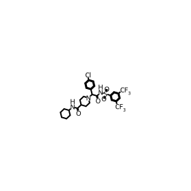 O=C(NC1CCCCC1)C1CCN(C(C(=O)NS(=O)(=O)c2cc(C(F)(F)F)cc(C(F)(F)F)c2)c2ccc(Cl)cc2)CC1